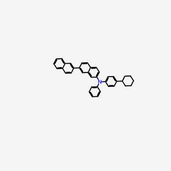 c1ccc(N(c2ccc(C3CCCCC3)cc2)c2ccc3ccc(-c4ccc5ccccc5c4)cc3c2)cc1